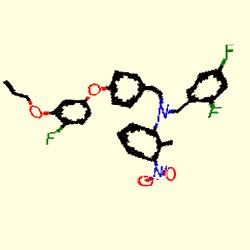 C=CCOc1cc(Oc2ccc(CN(Cc3ccc(F)cc3F)c3cccc([N+](=O)[O-])c3C)cc2)ccc1F